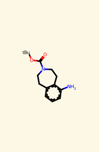 CC(C)(C)OC(=O)N1CCc2cccc(N)c2CC1